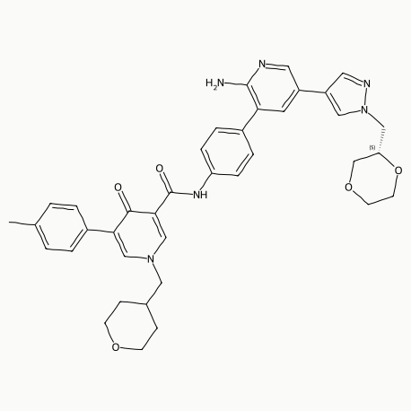 Cc1ccc(-c2cn(CC3CCOCC3)cc(C(=O)Nc3ccc(-c4cc(-c5cnn(C[C@H]6COCCO6)c5)cnc4N)cc3)c2=O)cc1